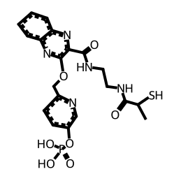 CC(S)C(=O)NCCNC(=O)c1nc2ccccc2nc1OCc1ccc(OP(=O)(O)O)cn1